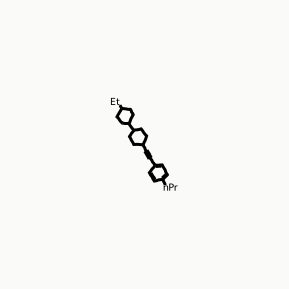 CCCc1ccc(C#CC2CCC(C3CCC(CC)CC3)CC2)cc1